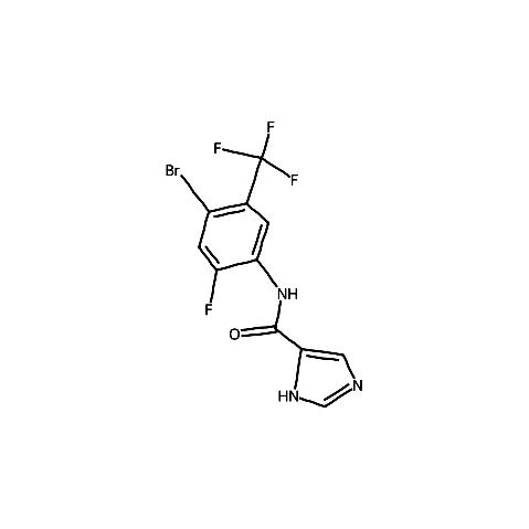 O=C(Nc1cc(C(F)(F)F)c(Br)cc1F)c1cnc[nH]1